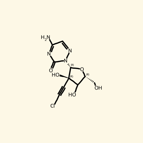 Nc1cnn([C@@H]2O[C@H](CO)C(O)[C@]2(O)C#CCl)c(=O)n1